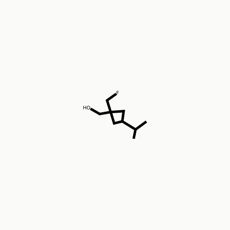 CC(C)C1CC(CO)(CF)C1